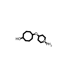 OC1CCCC(OC2CCN(P)CC2)CCC1